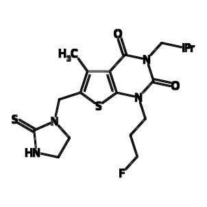 Cc1c(CN2CCNC2=S)sc2c1c(=O)n(CC(C)C)c(=O)n2CCCF